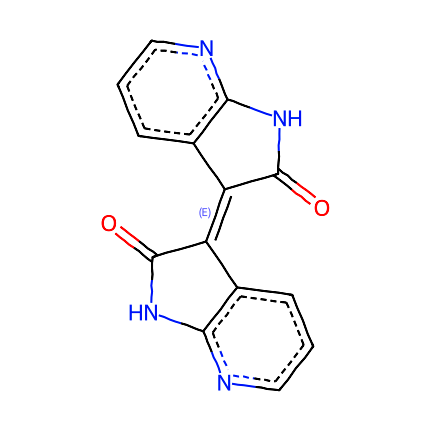 O=C1Nc2ncccc2/C1=C1\C(=O)Nc2ncccc21